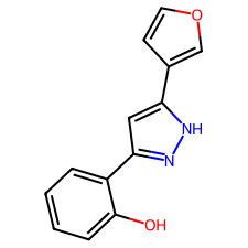 Oc1ccccc1-c1cc(-c2ccoc2)[nH]n1